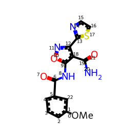 COc1cccc(C(=O)Nc2onc(-c3nccs3)c2C(N)=O)c1